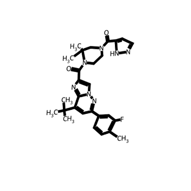 Cc1ccc(-c2cc(C(C)(C)C)c3nc(C(=O)N4CCN(C(=O)c5ccn[nH]5)CC4(C)C)cn3n2)cc1F